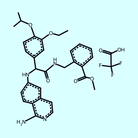 CCOc1cc(C(Nc2ccc3c(N)nccc3c2)C(=O)NCc2ccccc2C(=O)OC)ccc1OC(C)C.O=C(O)C(F)(F)F